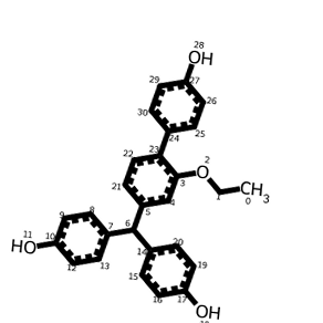 CCOc1cc(C(c2ccc(O)cc2)c2ccc(O)cc2)ccc1-c1ccc(O)cc1